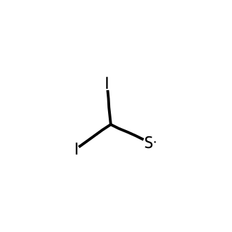 [S]C(I)I